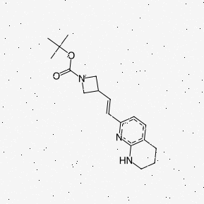 CC(C)(C)OC(=O)N1CC(/C=C/c2ccc3c(n2)NCCC3)C1